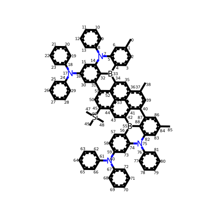 Cc1ccc2c(c1)N(c1ccccc1)c1cc(N(c3ccccc3)c3ccccc3)cc3c1B2c1cc2c(C)cc4c5c(cc6c([Si](C)(C)C)cc-3c1c6c25)B1c2ccc(N(c3ccccc3)c3ccccc3)cc2N(c2ccccc2)c2cc(C)cc-4c21